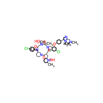 Cc1cccc(C[C@@H]2CC(=O)N(Cc3c(F)cc(Cl)cc3Oc3ccc(-c4cnc(CN(C)C)n4C)cc3)[C@@H](C)C(=O)N(C)[C@@H](CO)C(=O)N(C)[C@@]3(Cc4ccc(Cl)cc4)CCCN(C3)C2=O)[n+]1O